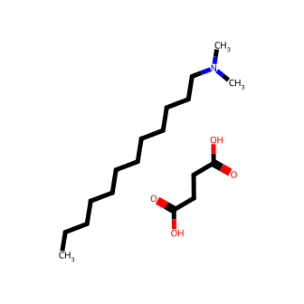 CCCCCCCCCCCCN(C)C.O=C(O)CCC(=O)O